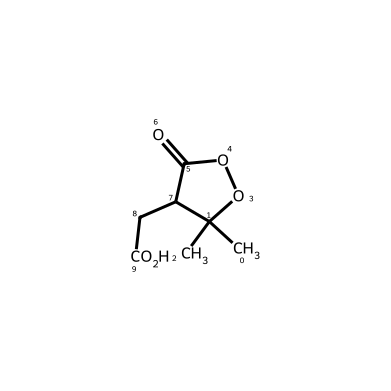 CC1(C)OOC(=O)C1CC(=O)O